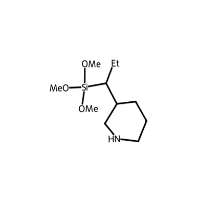 CCC(C1CCCNC1)[Si](OC)(OC)OC